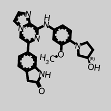 COc1cc(Nc2nc(-c3ccc4c(c3)NC(=O)C4)cn3ccnc23)ccc1N1CC[C@@H](O)C1